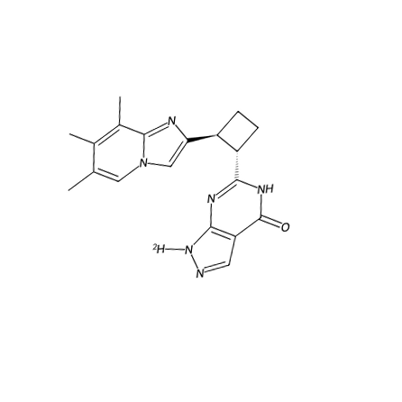 [2H]n1ncc2c(=O)[nH]c([C@H]3CC[C@@H]3c3cn4cc(C)c(C)c(C)c4n3)nc21